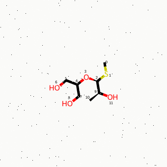 CS[C@H](OC(CO)CO)[C@H](C)O